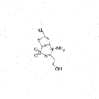 NN1C(CCO)=NS(=O)(=O)c2sc(Cl)cc21